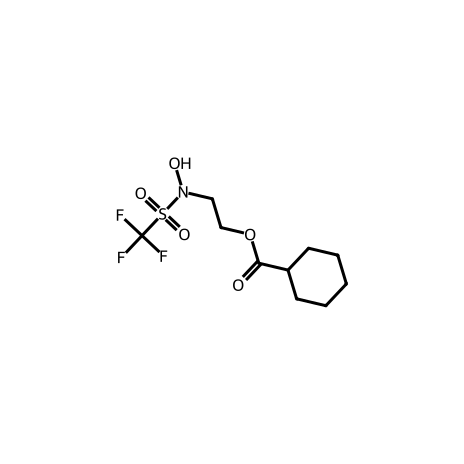 O=C(OCCN(O)S(=O)(=O)C(F)(F)F)C1CCCCC1